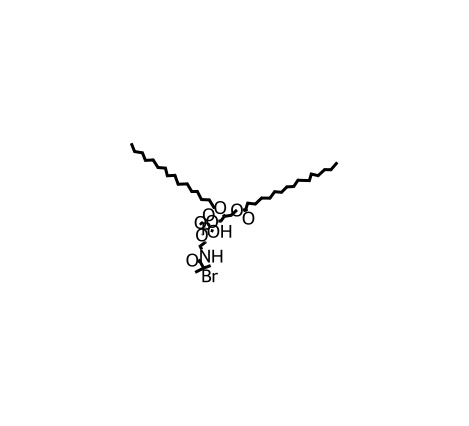 CCCCCCCCCCCCCCCC(=O)OCC(COP(=O)(O)OCCNC(=O)C(C)(C)Br)OC(=O)CCCCCCCCCCCCCCC